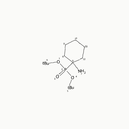 CC(C)(C)OP(=O)(OC(C)(C)C)C1(N)CCCCC1